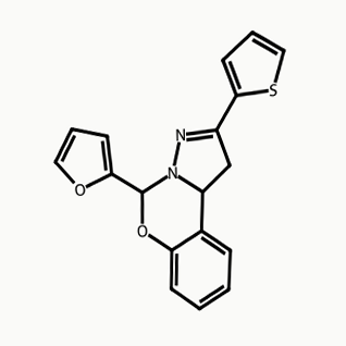 c1coc(C2Oc3ccccc3C3CC(c4cccs4)=NN32)c1